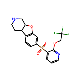 O=S(=O)(c1ccc2c(c1)OC1CNCCC21)c1cccnc1OCC(F)(F)F